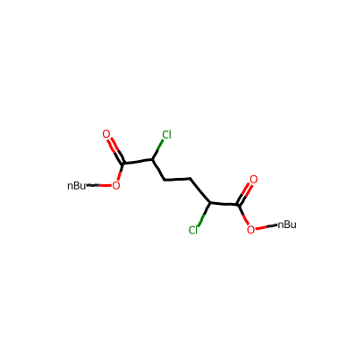 CCCCOC(=O)C(Cl)CCC(Cl)C(=O)OCCCC